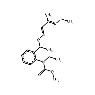 CCN(C(=O)OC)c1ccccc1C(C)ON=CC(C)=NOC